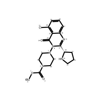 CC(C)(C)OC(=O)N1CCN(n2c([C@@H]3CCCN3)nc3cccc(Cl)c3c2=O)CC1